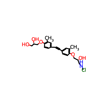 Cc1cc(C#Cc2ccc(OC[C@H](O)CNCl)c(C)c2)ccc1OC[C@H](O)CO